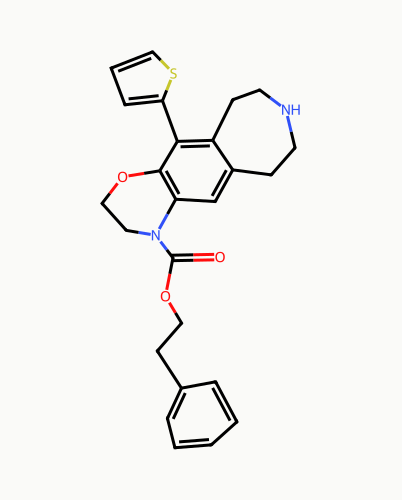 O=C(OCCc1ccccc1)N1CCOc2c1cc1c(c2-c2cccs2)CCNCC1